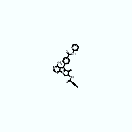 C=C1c2c(-c3ccc(C(=O)Nc4ccccn4)cc3)c3c(N)ncnc3n2CC1NC(=O)C#CC